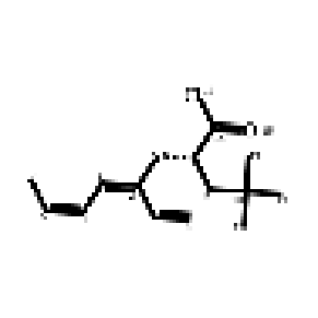 C=C/C(=C\C=C/C)C[C@@H](CC(C)(C)C)C(=O)Cl